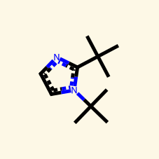 CC(C)(C)c1nccn1C(C)(C)C